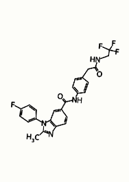 Cc1nc2ccc(C(=O)Nc3ccc(CC(=O)NCC(F)(F)F)cc3)cc2n1-c1ccc(F)cc1